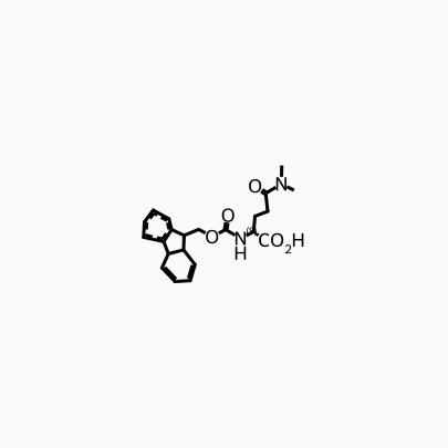 CN(C)C(=O)CC[C@H](NC(=O)OCC1c2ccccc2C2C=CC=CC21)C(=O)O